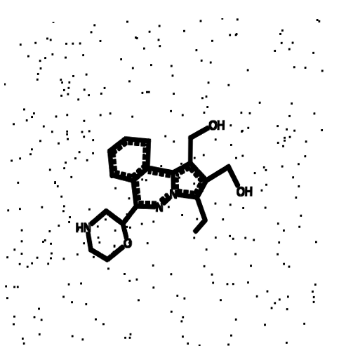 CCc1c(CO)c(CO)c2c3ccccc3c(C3CNCCO3)nn12